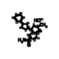 Cc1cc(N2CCC(c3ccccc3)C2)c2cc(C(N)=O)ccc2n1.Cl